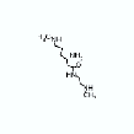 CNCCC[C@H](N)CC(=O)NCCNC